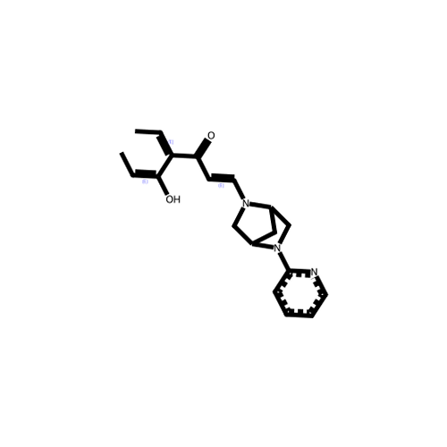 C/C=C(O)\C(=C/C)C(=O)/C=C/N1CC2CC1CN2c1ccccn1